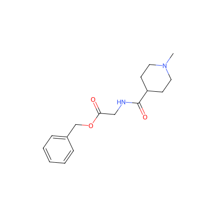 CN1CCC(C(=O)NCC(=O)OCc2ccccc2)CC1